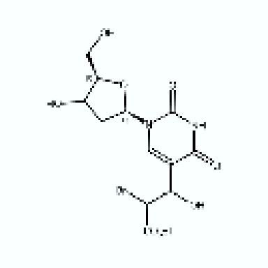 CCOC(=O)C(Br)C(O)c1cn([C@H]2CC(O)[C@@H](CO)O2)c(=O)[nH]c1=O